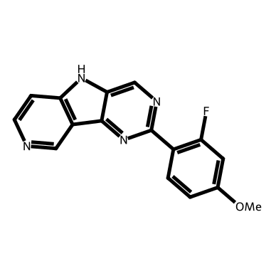 COc1ccc(-c2ncc3[nH]c4ccncc4c3n2)c(F)c1